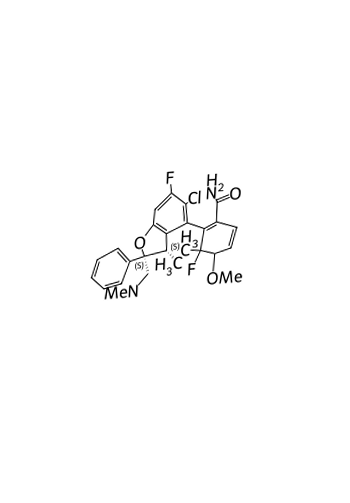 CNC[C@]1(c2ccccc2)Oc2cc(F)c(Cl)c(C3=C(C(N)=O)C=CC(OC)C3(C)F)c2[C@@H]1C